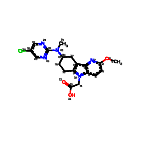 COc1ccc2c(n1)c1c(n2CC(=O)O)CC[C@@H](N(C)c2ncc(Cl)cn2)C1